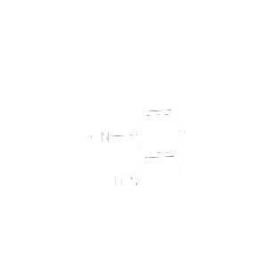 Cc1cc(C)c(N)c(N=O)c1